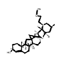 CCCOCCN1C[C@@H](C)C[C@H]2O[C@]3(CC[C@H]4[C@@H]5CCC6=C[C@@H](O)CC[C@]6(C)[C@H]5CC45CC53C)[C@H](C)[C@@H]21